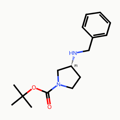 CC(C)(C)OC(=O)N1CC[C@@H](NCc2ccccc2)C1